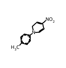 Cc1ccc(N2C=CC([N+](=O)[O-])=CC2)cc1